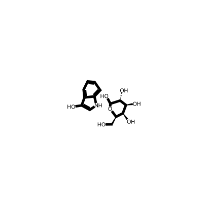 OC[C@H]1OC(O)[C@H](O)[C@@H](O)[C@H]1O.Oc1c[nH]c2ccccc12